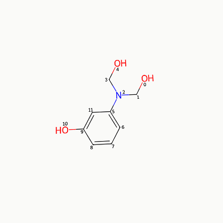 OCN(CO)c1cccc(O)c1